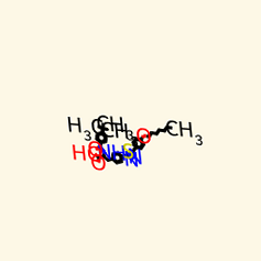 CCCCCCCOc1ccc(-c2nnc(-c3ccc(CC(NC(=O)c4ccc(C(C)(C)C)cc4)C(=O)O)cc3)s2)cc1